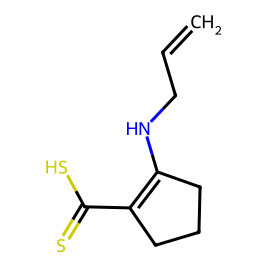 C=CCNC1=C(C(=S)S)CCC1